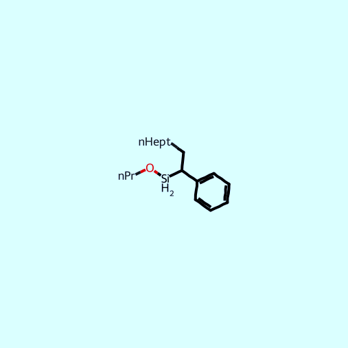 CCCCCCCCC([SiH2]OCCC)c1ccccc1